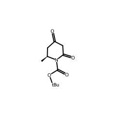 C[C@H]1CC(=O)CC(=O)N1C(=O)OC(C)(C)C